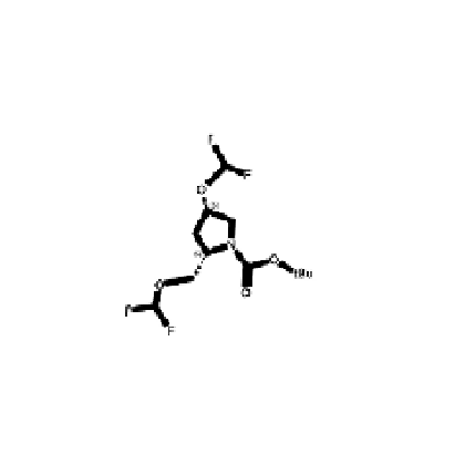 CC(C)(C)OC(=O)N1C[C@@H](OC(F)F)C[C@H]1COC(F)F